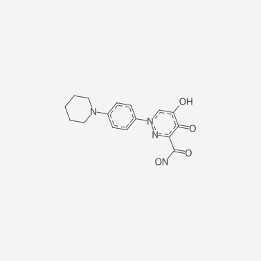 O=NC(=O)c1nn(-c2ccc(N3CCCCC3)cc2)cc(O)c1=O